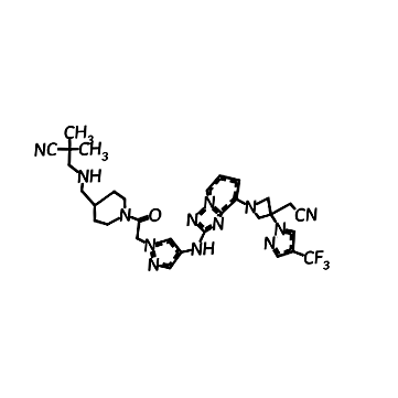 CC(C)(C#N)CNCC1CCN(C(=O)Cn2cc(Nc3nc4c(N5CC(CC#N)(n6cc(C(F)(F)F)cn6)C5)cccn4n3)cn2)CC1